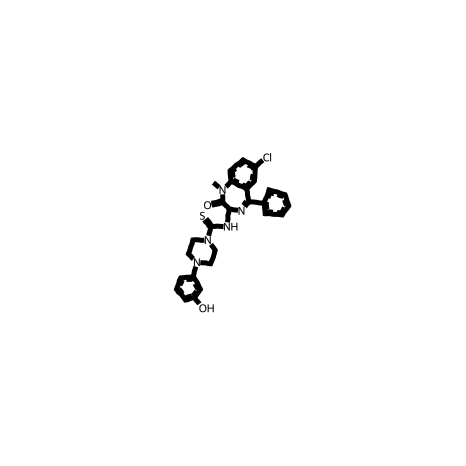 CN1C(=O)C(NC(=S)N2CCN(c3cccc(O)c3)CC2)N=C(c2ccccc2)c2cc(Cl)ccc21